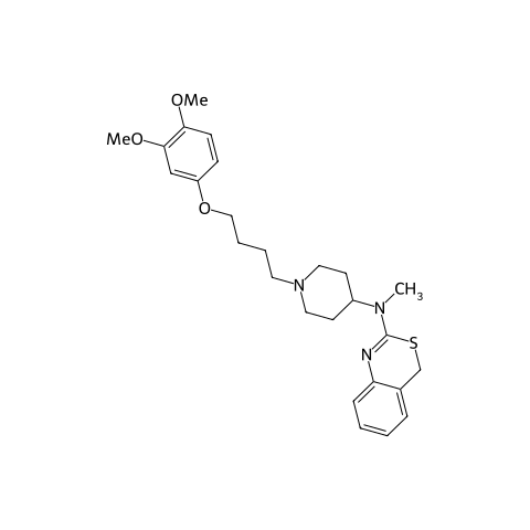 COc1ccc(OCCCCN2CCC(N(C)C3=Nc4ccccc4CS3)CC2)cc1OC